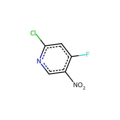 O=[N+]([O-])c1cnc(Cl)cc1F